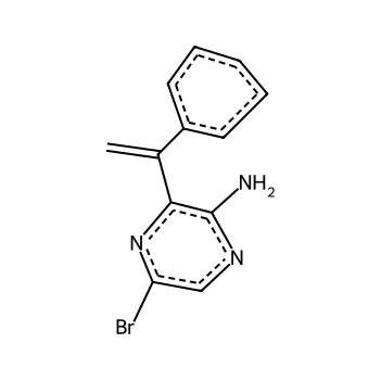 C=C(c1ccccc1)c1nc(Br)cnc1N